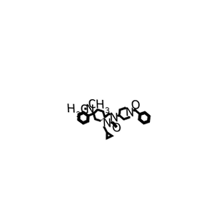 CN(C)[C@]1(c2ccccc2)CC[C@]2(CC1)CN(C1CCN(C(=O)c3ccccc3)CC1)C(=O)N2CC1CC1